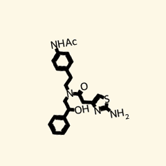 CC(=O)Nc1ccc(CCN(CC(O)c2ccccc2)C(=O)Cc2csc(N)n2)cc1